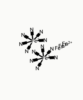 N#[C][Fe-3]([C]#N)([C]#N)([C]#N)([C]#N)[C]#N.N#[C][Fe-3]([C]#N)([C]#N)([C]#N)([C]#N)[C]#N.[Fe+2].[Fe+2].[Fe+2]